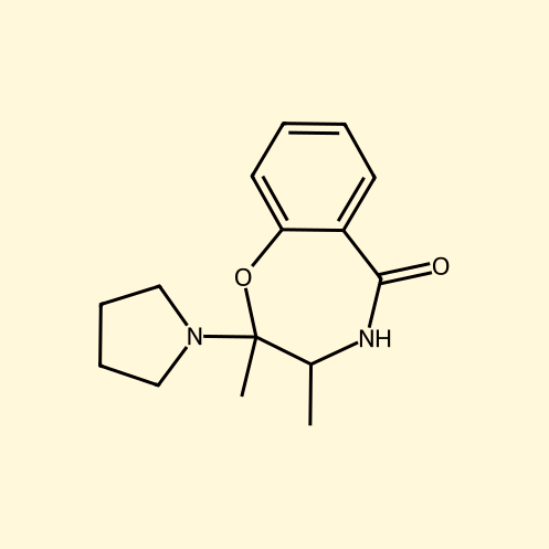 CC1NC(=O)c2ccccc2OC1(C)N1CCCC1